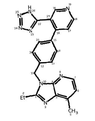 CCc1nc2c(C)ccnc2n1Cc1ccc(-c2ccncc2-c2nnn[nH]2)cc1